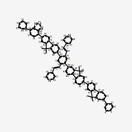 CC1(C)c2cc(-c3ccccc3)ccc2-c2ccc(-c3ccc4c(c3)C(C)(C)c3cc(-c5cc(/C=C/c6ccncc6)c(-c6ccc7c(c6)C(C)(C)c6cc(-c8ccc(-c9ccccc9)c9nonc89)ccc6-7)cc5/C=C/c5ccncc5)ccc3-4)cc21